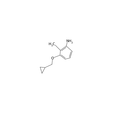 Cc1c(N)cccc1OCC1CC1